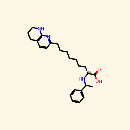 CC(N[C@@H](CCCCCCCc1ccc2c(n1)NCCC2)C(=O)O)c1ccccc1